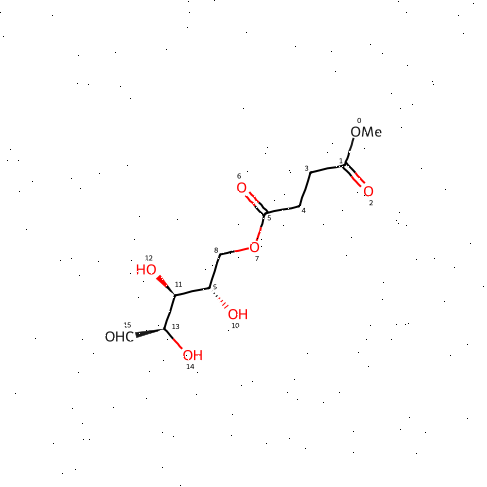 COC(=O)CCC(=O)OC[C@H](O)[C@H](O)[C@@H](O)C=O